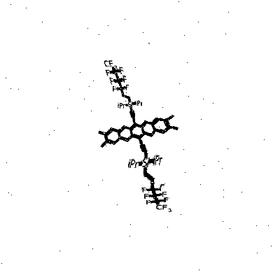 Cc1cc2cc3c(C#C[Si](CCC(F)(F)C(F)(F)C(F)(F)C(F)(F)F)(C(C)C)C(C)C)c4cc5cc(C)c(C)cc5cc4c(C#C[Si](CCC(F)(F)C(F)(F)C(F)(F)C(F)(F)F)(C(C)C)C(C)C)c3cc2cc1C